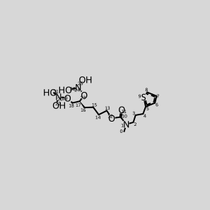 CN(CCCc1cccs1)C(=O)OCCCC[C@@H](CON(O)O)ON(O)O